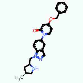 C[C@H]1CNC(Cn2ncc3cc(-n4ccc(OCc5ccccc5)cc4=O)ccc32)C1